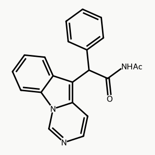 CC(=O)NC(=O)C(c1ccccc1)c1c2ccccc2n2cnccc12